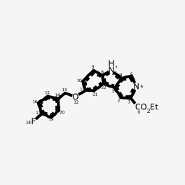 CCOC(=O)c1cc2c(cn1)[nH]c1ccc(OCc3ccc(F)cc3)cc12